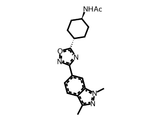 CC(=O)N[C@H]1CC[C@H](c2nc(-c3ccc4c(C)nn(C)c4c3)no2)CC1